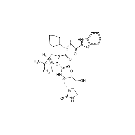 CC1(C)[C@@H]2[C@@H](C(=O)N[C@@H](C[C@@H]3CCNC3=O)C(=O)CO)N(C(=O)[C@@H](NC(=O)c3cc4ccccc4[nH]3)C3CCCCC3)C[C@@H]21